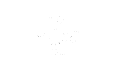 CC(C)(C)C(=O)CN1CCN(Cc2c(O)cccc2O)CCN(Cc2c(O)cccc2O)CCN(Cc2c(O)cccc2O)CC1